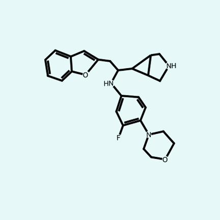 Fc1cc(NC(Cc2cc3ccccc3o2)C2C3CNCC32)ccc1N1CCOCC1